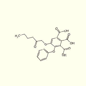 CCCCC(=O)COc1cc(C(=O)O)c(C(=O)O)c(C(=O)O)c1Oc1ccccc1